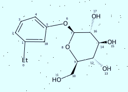 CCc1cccc(O[C@@H]2O[C@H](CO)[C@@H](O)[C@H](O)[C@H]2O)c1